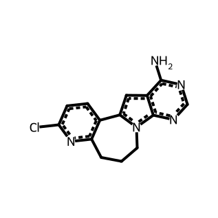 Nc1ncnc2c1cc1n2CCCc2nc(Cl)ccc2-1